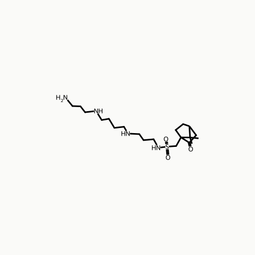 CC1(C)C2CCC1(CS(=O)(=O)NCCCNCCCCNCCCN)C(=O)C2